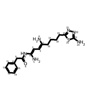 N/C(=C\C=C(/N)NC(=O)Cc1ccccc1)CCCCc1nnc(N)s1